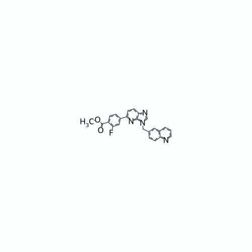 COC(=O)c1ccc(-c2ccc3ncn(Cc4ccc5ncccc5c4)c3n2)cc1F